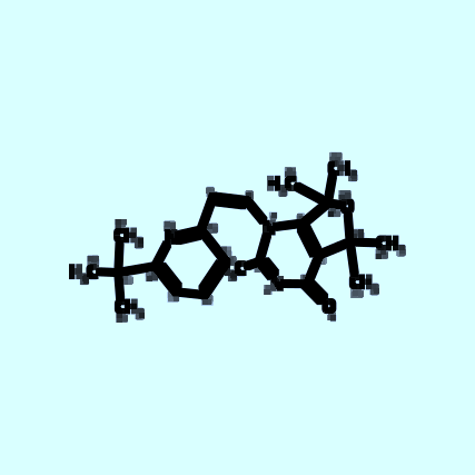 Cc1nc(=O)c2c(n1/C=C\c1cccc(C(C)(C)C)n1)C(C)(C)OC2(C)C